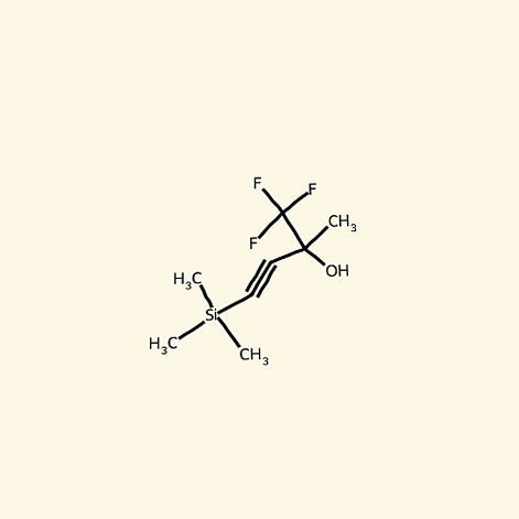 CC(O)(C#C[Si](C)(C)C)C(F)(F)F